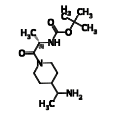 CC(N)C1CCN(C(=O)[C@H](C)NC(=O)OC(C)(C)C)CC1